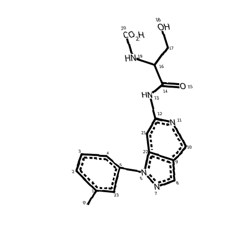 Cc1cccc(-n2ncc3cnc(NC(=O)C(CO)NC(=O)O)cc32)c1